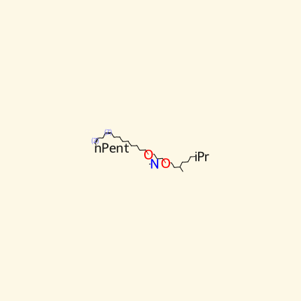 CCCCC/C=C\C/C=C\CCCCCCCCOCC(COCCC(C)CCCC(C)C)N(C)C